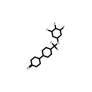 O=C1CCC(C2CCC(C(F)(F)OC3CC(F)C(F)C(F)C3)CC2)CC1